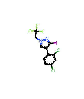 FC(F)(F)Cn1cc(-c2ccc(Cl)cc2Cl)c(I)n1